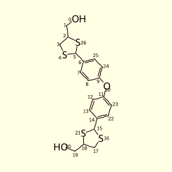 OCC1CSC(c2ccc(Oc3ccc(C4SCC(CO)S4)cc3)cc2)S1